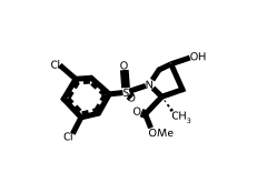 COC(=O)[C@]1(C)CC(O)CN1S(=O)(=O)c1cc(Cl)cc(Cl)c1